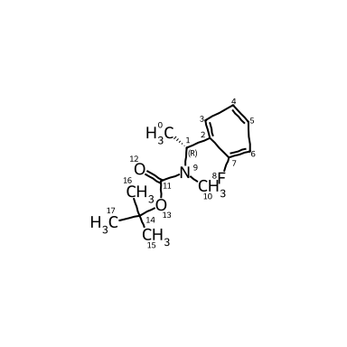 C[C@H](c1ccccc1F)N(C)C(=O)OC(C)(C)C